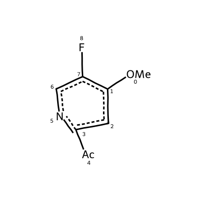 COc1cc(C(C)=O)ncc1F